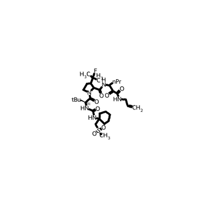 C=CCNC(=O)C(=O)C(CCC)NC(=O)C1C(C(C)(C)F)CCN1C(=O)[C@@H](NC(=O)NC1(CS(C)(=O)=O)CCCCC1)C(C)(C)C